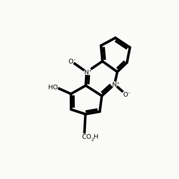 O=C(O)c1cc(O)c2c(c1)[n+]([O-])c1ccccc1[n+]2[O-]